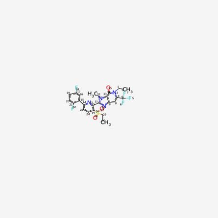 CCn1c(C(F)(F)F)cc2nc(-c3nc(-c4cc(F)ccc4F)ccc3S(=O)(=O)CC)n(C)c2c1=O